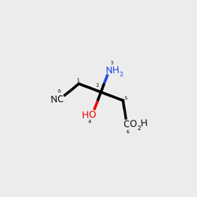 N#CCC(N)(O)CC(=O)O